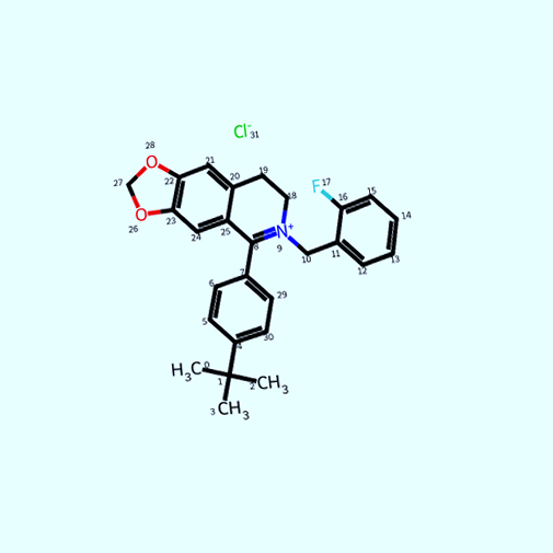 CC(C)(C)c1ccc(C2=[N+](Cc3ccccc3F)CCc3cc4c(cc32)OCO4)cc1.[Cl-]